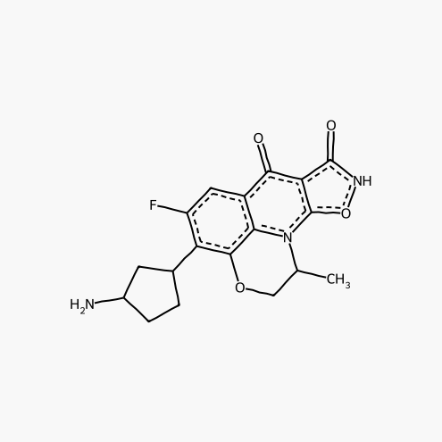 CC1COc2c(C3CCC(N)C3)c(F)cc3c(=O)c4c(=O)[nH]oc4n1c23